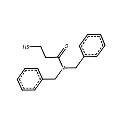 O=C(CCS)N(Cc1ccccc1)Cc1ccccc1